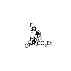 CCOC(=O)CC1(NC(=O)c2cc(-c3ccc(F)cc3F)on2)CN(CC2(C)COC2)C1